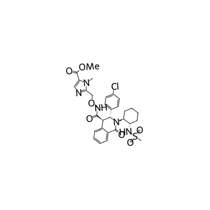 COC(=O)c1cnc(CONC(=O)[C@@H]2c3ccccc3C(=O)N([C@H]3CCCC[C@@H]3NS(C)(=O)=O)[C@H]2c2ccc(Cl)cc2)n1C